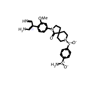 COc1cc(N2CCC3(CCN([S+]([O-])c4ccc([S+](N)[O-])cc4)CC3)C2=O)ccc1/C(C=N)=C/N